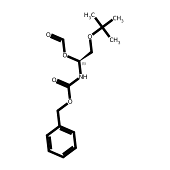 CC(C)(C)OC[C@@H](NC(=O)OCc1ccccc1)OC=O